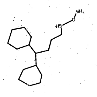 [SiH3]O[SiH]CCCC(C1CCCCC1)C1CCCCC1